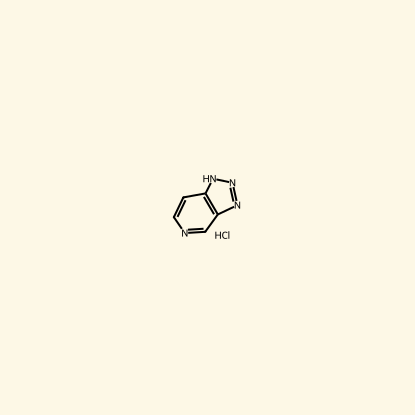 Cl.c1cc2[nH]nnc2cn1